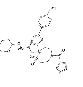 CSc1ccc(-c2ccc([C@@]3(CC(=O)NOC4CCCCO4)CCN(C(=O)c4ccsc4)CCS3(=O)=O)s2)cc1